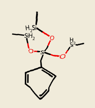 C[SiH2]O[Si](O[SiH2]C)(O[SiH2]C)c1ccccc1